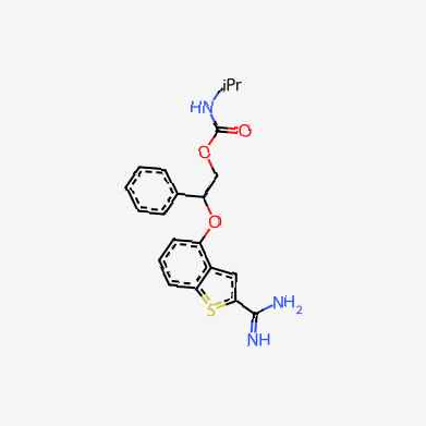 CC(C)NC(=O)OCC(Oc1cccc2sc(C(=N)N)cc12)c1ccccc1